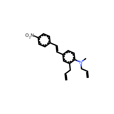 C=CCc1cc(C=Cc2ccc([N+](=O)[O-])cc2)ccc1N(C)CC=C